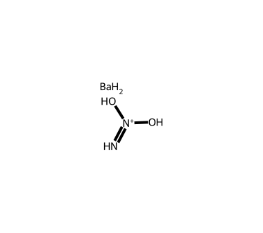 N=[N+](O)O.[BaH2]